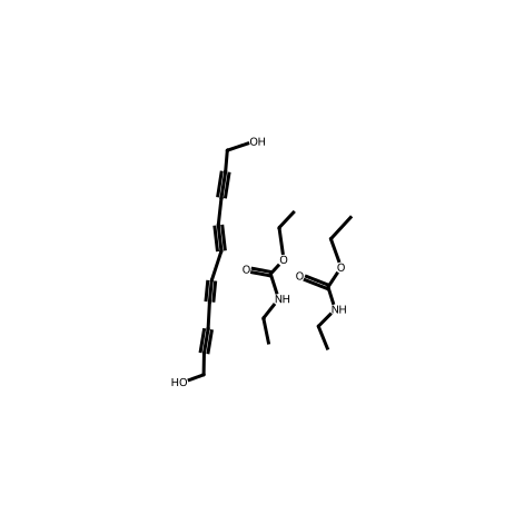 CCNC(=O)OCC.CCNC(=O)OCC.OCC#CC#CC#CC#CCO